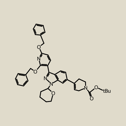 CC(C)(C)OC(=O)N1CC=C(c2ccc3c(-c4ccc(OCc5ccccc5)nc4OCc4ccccc4)nn(C4CCCCO4)c3c2)CC1